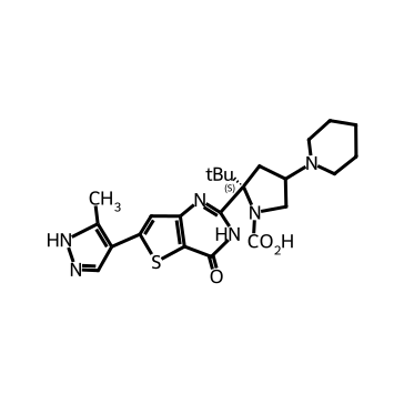 Cc1[nH]ncc1-c1cc2nc([C@@]3(C(C)(C)C)CC(N4CCCCC4)CN3C(=O)O)[nH]c(=O)c2s1